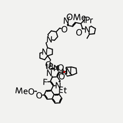 CCc1cccc2cc(OCOC)cc(-c3ncc4c(N5CC6CCC(C5)N6C(=O)OC(C)(C)C)nc(OCC56CCCN5C(CN5CCC(COC(/C=C/C(C(=O)N7CCCC7C)C(C)C)=N/OC)CC5)CC6)nc4c3F)c12